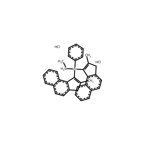 C[SiH2][Zr]([C]1=C(C)Cc2ccc3ccccc3c21)([C]1=C(C)Cc2ccc3ccccc3c21)[c]1ccccc1.Cl.Cl